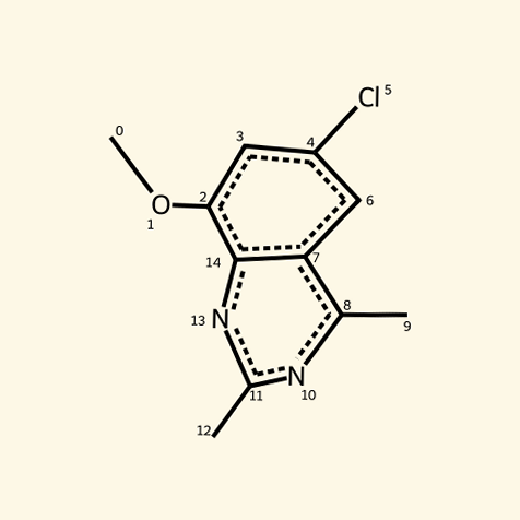 COc1cc(Cl)cc2c(C)nc(C)nc12